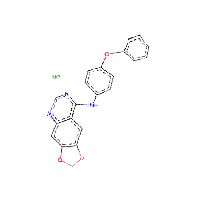 Cl.c1ccc(Oc2ccc(Nc3ncnc4cc5c(cc34)OCO5)cc2)cc1